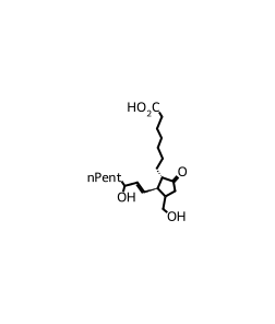 CCCCCC(O)C=C[C@@H]1C(CO)CC(=O)[C@H]1CCCCCCC(=O)O